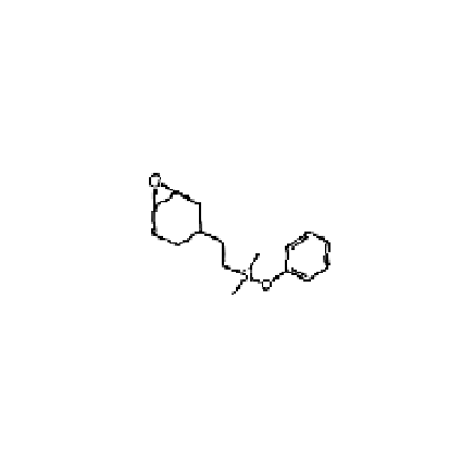 C[Si](C)(CCC1CCC2OC2C1)Oc1ccccc1